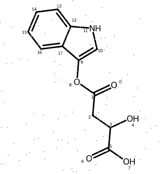 O=C(CC(O)C(=O)O)Oc1c[nH]c2ccccc12